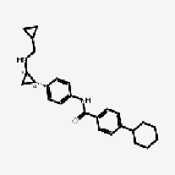 O=C(Nc1ccc([C@@H]2C[C@H]2NCC2CC2)cc1)c1ccc(C2CCCCC2)cc1